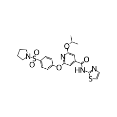 CC(C)Oc1cc(C(=O)Nc2nccs2)cc(Oc2ccc(S(=O)(=O)N3CCCC3)cc2)n1